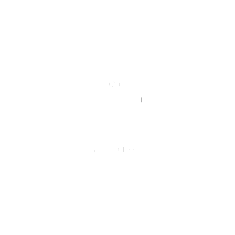 CCC(C=O)CCC(C)CC(C)(C)C